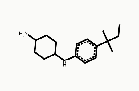 CCC(C)(C)c1ccc(NC2CCC(N)CC2)cc1